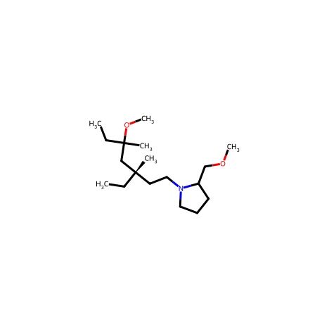 CCC(C)(C[C@@](C)(CC)CCN1CCCC1COC)OC